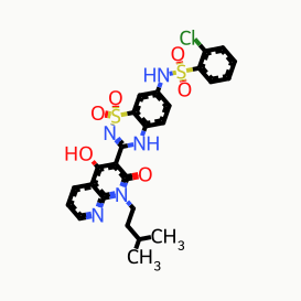 CC(C)CCn1c(=O)c(C2=NS(=O)(=O)c3cc(NS(=O)(=O)c4ccccc4Cl)ccc3N2)c(O)c2cccnc21